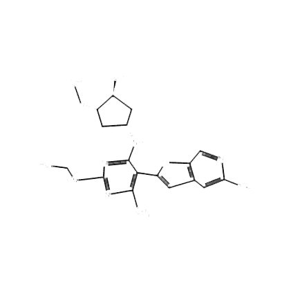 Cc1nc(NCC(C)(C)C)nc(N[C@@H]2C[C@H](CO)[C@@H](O)C2)c1-c1cc2cc(C(C)(C)C)ncc2o1